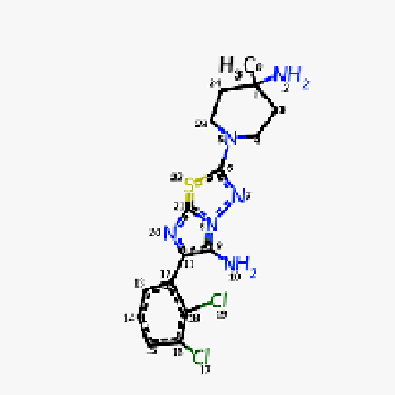 CC1(N)CCN(c2nn3c(N)c(-c4cccc(Cl)c4Cl)nc3s2)CC1